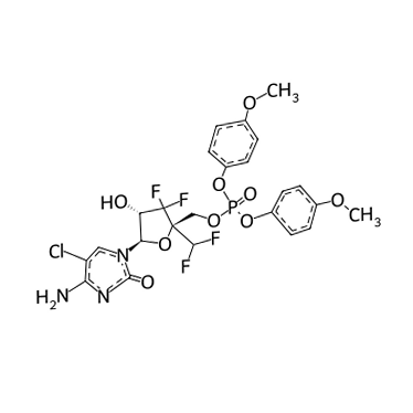 COc1ccc(OP(=O)(OC[C@@]2(C(F)F)O[C@@H](n3cc(Cl)c(N)nc3=O)[C@H](O)C2(F)F)Oc2ccc(OC)cc2)cc1